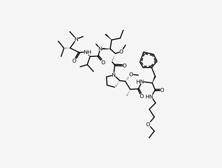 CCOCCCNC(=O)[C@H](Cc1ccccc1)NC(=O)[C@H](C)[C@@H](OC)[C@@H]1CCCN1C(=O)C[C@@H](OC)[C@H]([C@@H](C)CC)N(C)C(=O)[C@@H](NC(=O)[C@H](C(C)C)N(C)C)C(C)C